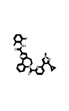 Cc1cccc(F)c1NC(=O)c1cc2c(s1)-c1ccccc1N(C(=O)c1cccc(-c3cn(C)nc3C3CC3)n1)CC2